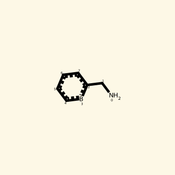 NCc1bcccc1